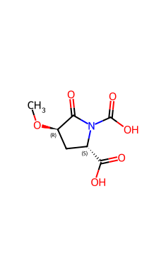 CO[C@@H]1C[C@@H](C(=O)O)N(C(=O)O)C1=O